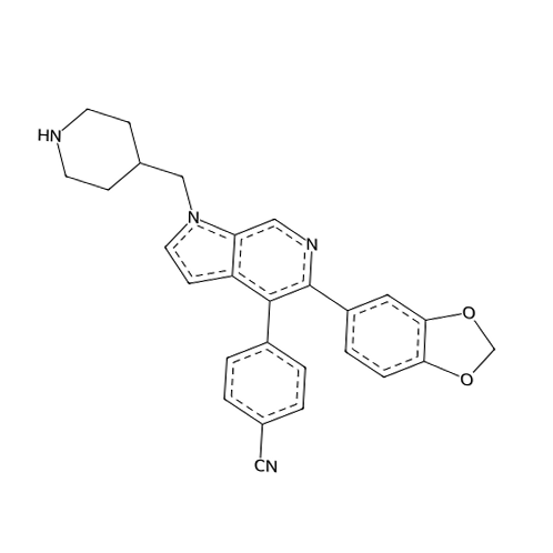 N#Cc1ccc(-c2c(-c3ccc4c(c3)OCO4)ncc3c2ccn3CC2CCNCC2)cc1